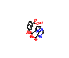 O=C(O)c1ccc2ccccc2c1.O=C(O)c1ccccn1.O=C(O)c1cnccn1